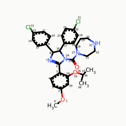 COc1ccc(C2=NC(c3ccc(Cl)cc3)C(c3ccc(Cl)cc3)N2C(=O)N2CCCNCC2)c(OC(C)C)c1